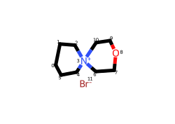 C1CC[N+]2(CC1)CCOCC2.[Br-]